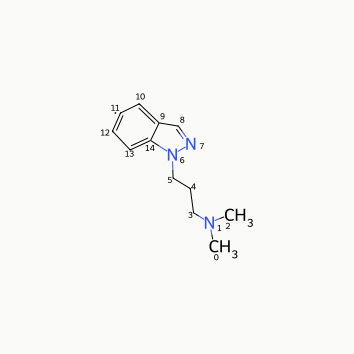 CN(C)CCCn1ncc2c[c]ccc21